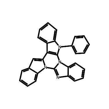 c1ccc(-n2c3ccccc3c3c4cc5ccccc5n4c4nc5ccccc5n4c32)cc1